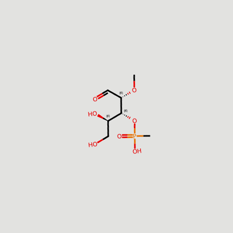 CO[C@@H](C=O)[C@H](OP(C)(=O)O)[C@H](O)CO